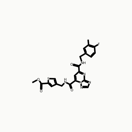 COC(=O)c1cc(CNC(=O)c2cc(C(=O)NCc3ccc(F)c(C)c3)nc3ncnn23)cs1